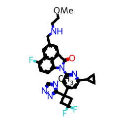 COCCNCc1cc2c3c(ccc(F)c3c1)N(c1cc(C3(c4nncn4C)CC(F)(F)C3)cc(C3CC3)n1)C2=O